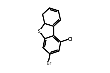 Clc1cc(Br)cc2c1C1=CC=CCC1S2